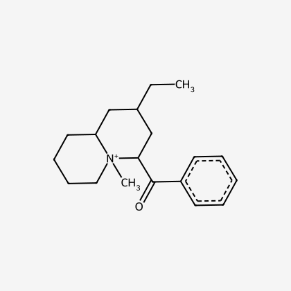 CCC1CC2CCCC[N+]2(C)C(C(=O)c2ccccc2)C1